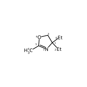 CCC1(CC)COC(C)=N1